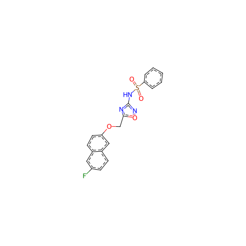 O=S(=O)(Nc1noc(COc2ccc3cc(F)ccc3c2)n1)c1ccccc1